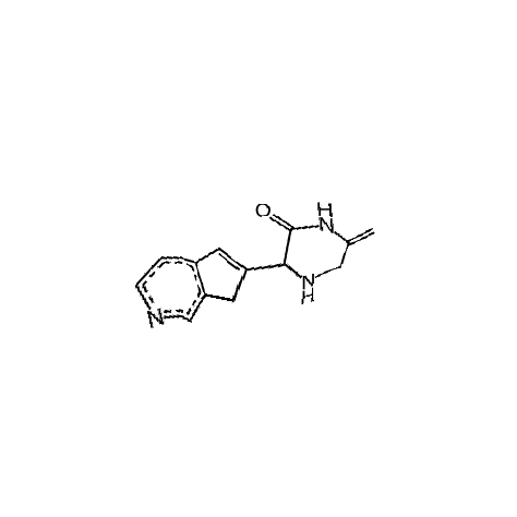 C=C1CNC(C2=Cc3ccncc3C2)C(=O)N1